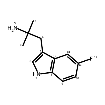 CC(C)(N)Cc1c[nH]c2ccc(F)cc12